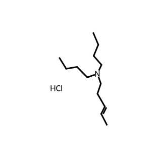 CC=CCCN(CCCC)CCCC.Cl